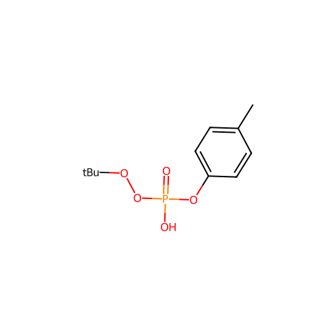 Cc1ccc(OP(=O)(O)OOC(C)(C)C)cc1